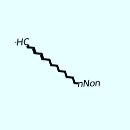 [CH]=CC=CC=CCCCCCCCCCCCCCCCCC